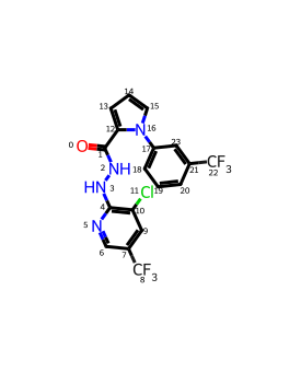 O=C(NNc1ncc(C(F)(F)F)cc1Cl)c1cccn1-c1cccc(C(F)(F)F)c1